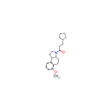 COc1cccc2c1CCC1C2CCN1C(=O)CCC1CCCC1